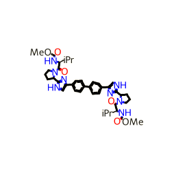 COC(=O)N[C@H](C(=O)N1CCCC1c1nc(-c2ccc(-c3ccc(-c4c[nH]c(C5CCCN5C(=O)[C@@H](NC(=O)OC)C(C)C)n4)cc3)cc2)c[nH]1)C(C)C